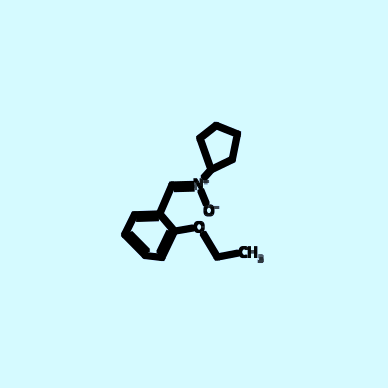 CCOc1ccccc1C=[N+]([O-])C1CCCC1